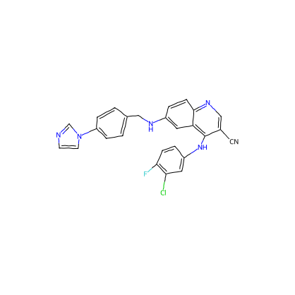 N#Cc1cnc2ccc(NCc3ccc(-n4ccnc4)cc3)cc2c1Nc1ccc(F)c(Cl)c1